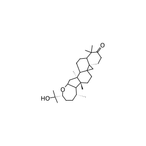 C[C@@H]1CC[C@H](C(C)(C)O)OC2C[C@@]3(C)C4CCC5C(C)(C)C(=O)CC[C@@]56CC46CC[C@]3(C)C21